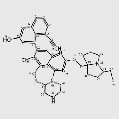 C#Cc1cccc2cc(O)cc(-c3cc4nc(OCC56CCCN5C(CF)CC6)nc5c4c(c3Cl)OCC3CNCCN53)c12